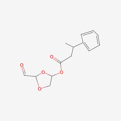 CC(CC(=O)OC1COC(C=O)O1)c1ccccc1